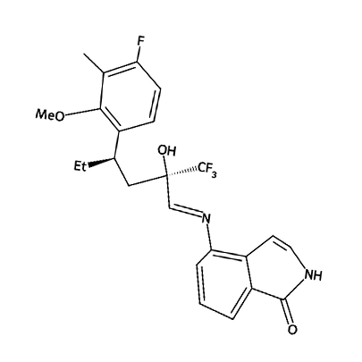 CC[C@H](C[C@@](O)(C=Nc1cccc2c(=O)[nH]ccc12)C(F)(F)F)c1ccc(F)c(C)c1OC